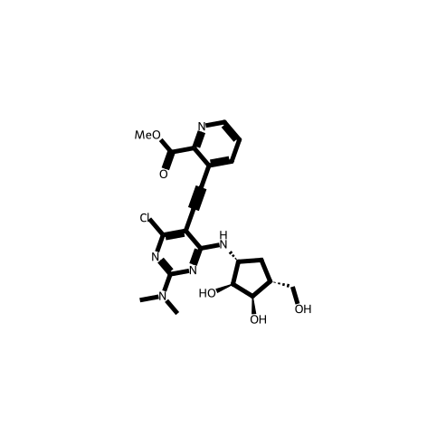 COC(=O)c1ncccc1C#Cc1c(Cl)nc(N(C)C)nc1N[C@@H]1C[C@H](CO)[C@@H](O)[C@H]1O